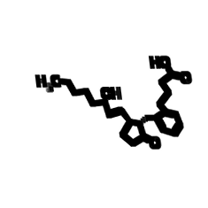 CCCCC[C@H](O)/C=C/[C@@H]1CCC(=O)[C@H]1Cc1ccccc1CCCC(=O)O